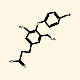 CCc1cc(CCC(=O)O)cc(C)c1Oc1ccc(O)cc1